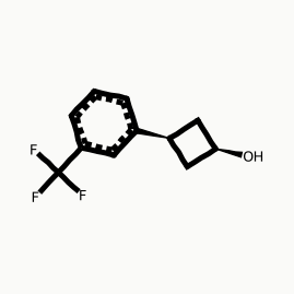 O[C@H]1C[C@@H](c2cccc(C(F)(F)F)c2)C1